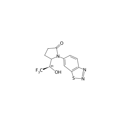 O=C1CCC([C@@H](O)C(F)(F)F)N1c1ccc2nnsc2c1